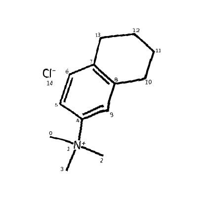 C[N+](C)(C)c1ccc2c(c1)CCCC2.[Cl-]